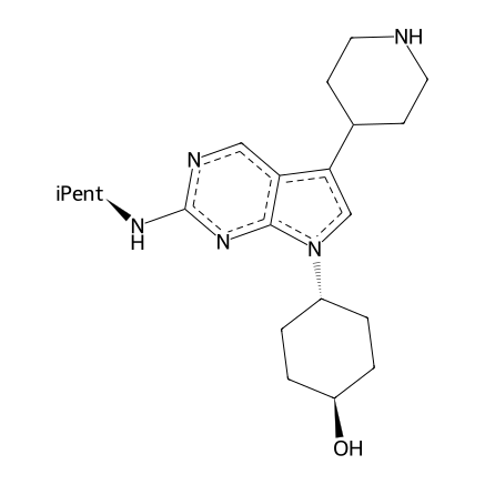 CCC[C@H](C)Nc1ncc2c(C3CCNCC3)cn([C@H]3CC[C@H](O)CC3)c2n1